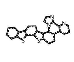 c1ccc2c(c1)sc1c2ccc2c1sc1ccc3c4cccnc4c4nccn4c3c12